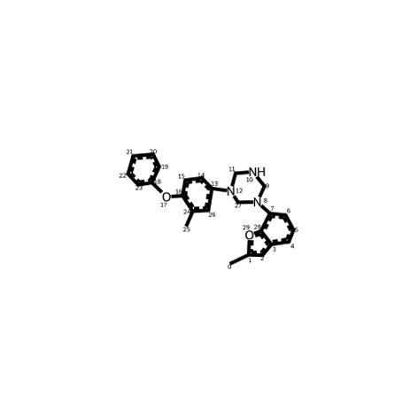 Cc1cc2cccc(N3CNCN(c4ccc(Oc5ccccc5)c(C)c4)C3)c2o1